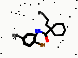 CC(C)CCC1(C(=O)Nc2cc(C(F)(F)F)ccc2S)CCCCC1